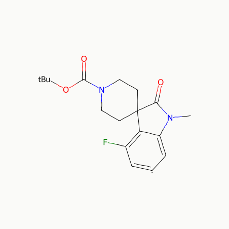 CN1C(=O)C2(CCN(C(=O)OC(C)(C)C)CC2)c2c(F)c[c]cc21